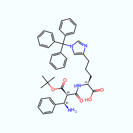 CC(C)(C)OC(=O)[C@@H](C(=O)N[C@@H](CCCc1cn(C(c2ccccc2)(c2ccccc2)c2ccccc2)cn1)C(=O)O)[C@@H](N)c1ccccc1